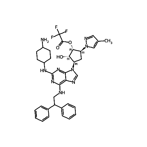 Cc1cnn([C@H]2C[C@@H](n3cnc4c(NCC(c5ccccc5)c5ccccc5)nc(NC5CCC(N)CC5)nc43)[C@H](O)[C@@H]2OC(=O)C(F)(F)F)c1